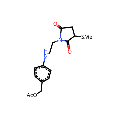 CSC1CC(=O)N(CCNc2ccc(COC(C)=O)cc2)C1=O